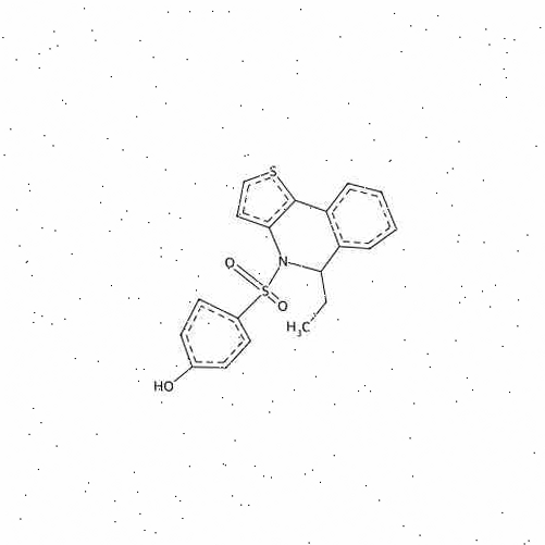 CCC1c2ccccc2-c2sccc2N1S(=O)(=O)c1ccc(O)cc1